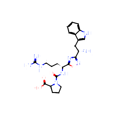 N=C(N)NCCC[C@H](NC(=O)N1CCCC1C(=O)O)c1nc([C@@H](N)Cc2c[nH]c3ccccc23)no1